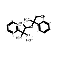 CC(CO)(NC(O)C(C)(N)c1ncccn1)c1ccccc1.Cl